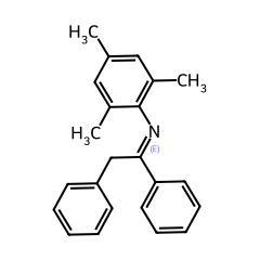 Cc1cc(C)c(/N=C(\Cc2ccccc2)c2ccccc2)c(C)c1